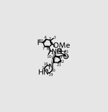 COc1c(C)cc(F)cc1C(C)Nc1cc(N2CCNCC2)ccc1S(C)(=O)=O